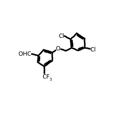 O=Cc1cc(OCc2cc(Cl)ccc2Cl)cc(C(F)(F)F)c1